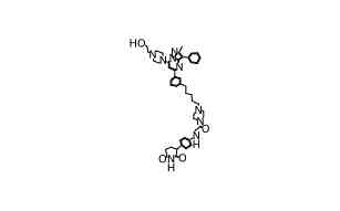 Cc1nn2c(N3CCN(CCO)CC3)cc(-c3cccc(CCCCCN4CCN(C(=O)CNc5ccc(C6CCC(=O)NC6=O)cc5)CC4)c3)nc2c1-c1ccccc1